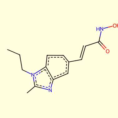 CCCn1c(C)nc2cc(/C=C/C(=O)NO)ccc21